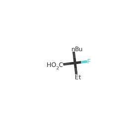 CCCCC(F)(CC)C(=O)O